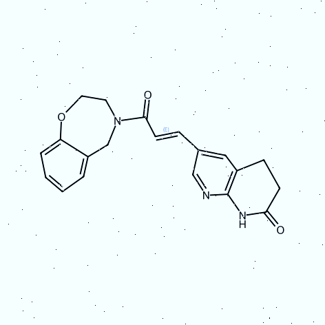 O=C1CCc2cc(/C=C/C(=O)N3CCOc4ccccc4C3)cnc2N1